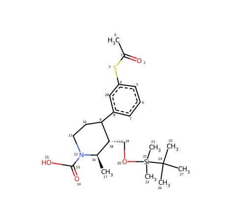 CC(=O)Sc1cccc(C2CCN(C(=O)O)[C@H](C)[C@H]2CO[Si](C)(C)C(C)(C)C)c1